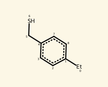 CCc1ccc(CS)cc1